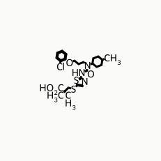 CC1CCC(N(CCCOc2ccccc2Cl)C(=O)Nc2ncc(SCC(C)(C)C(=O)O)s2)CC1